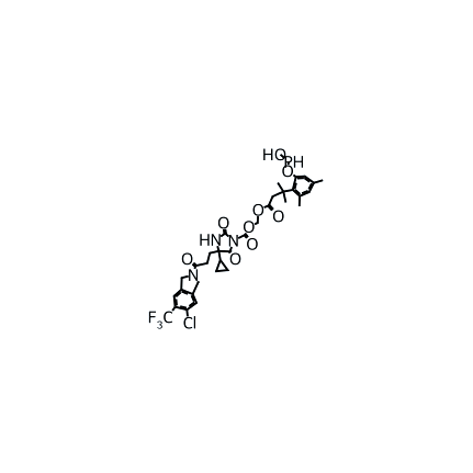 Cc1cc(C)c(C(C)(C)CC(=O)OCOC(=O)N2C(=O)NC(CCC(=O)N3Cc4cc(Cl)c(C(F)(F)F)cc4C3)(C3CC3)C2=O)c(OPO)c1